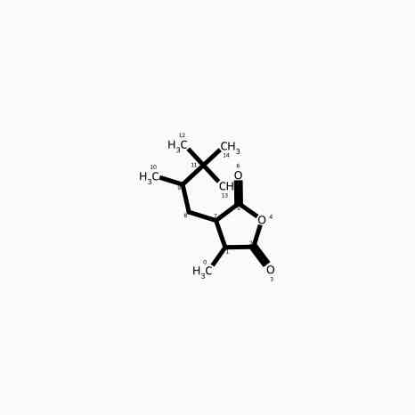 CC1C(=O)OC(=O)C1CC(C)C(C)(C)C